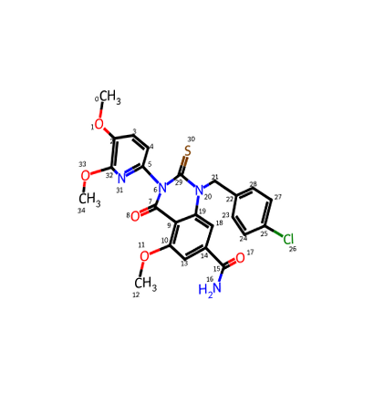 COc1ccc(-n2c(=O)c3c(OC)cc(C(N)=O)cc3n(Cc3ccc(Cl)cc3)c2=S)nc1OC